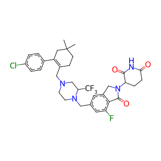 CC1(C)CCC(CN2CCN(Cc3cc(F)c4c(c3)CN(C3CCC(=O)NC3=O)C4=O)C(C(F)(F)F)C2)=C(c2ccc(Cl)cc2)C1